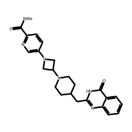 CNC(=O)c1ccc(N2CC(N3CCC(Cc4nc5ccccc5c(=O)[nH]4)CC3)C2)cn1